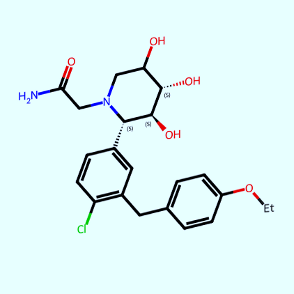 CCOc1ccc(Cc2cc([C@H]3[C@H](O)[C@@H](O)C(O)CN3CC(N)=O)ccc2Cl)cc1